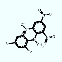 CN(c1c(Cl)cc(Br)cc1Br)c1c([N+](=O)[O-])cc([N+](=O)[O-])cc1[N+](=O)[O-]